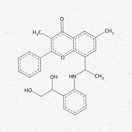 Cc1cc(C(C)Nc2ccccc2C(O)CO)c2oc(-c3ccccc3)c(C)c(=O)c2c1